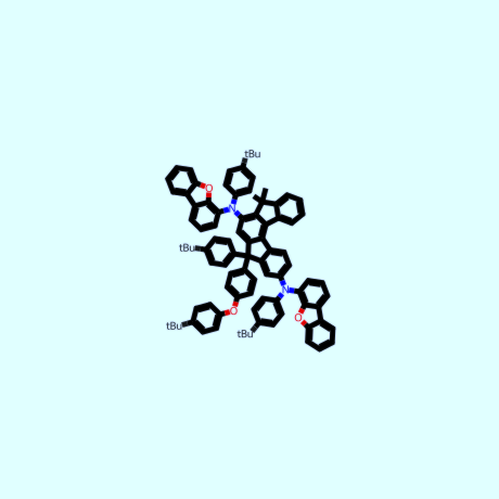 CC(C)(C)c1ccc(Oc2ccc(C3(c4ccc(C(C)(C)C)cc4)c4cc(N(c5ccc(C(C)(C)C)cc5)c5cccc6c5oc5ccccc56)ccc4-c4c3cc(N(c3ccc(C(C)(C)C)cc3)c3cccc5c3oc3ccccc35)c3c4-c4ccccc4C3(C)C)cc2)cc1